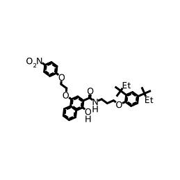 CCC(C)(C)c1ccc(OCCCNC(=O)c2cc(OCCOc3ccc([N+](=O)[O-])cc3)c3ccccc3c2O)c(C(C)(C)CC)c1